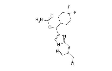 NC(=O)OC(c1cn2ncc(CCl)cc2n1)C1CCC(F)(F)CC1